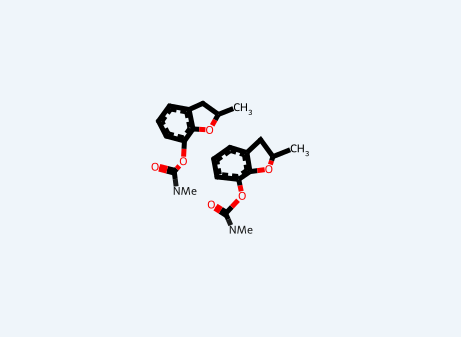 CNC(=O)Oc1cccc2c1OC(C)C2.CNC(=O)Oc1cccc2c1OC(C)C2